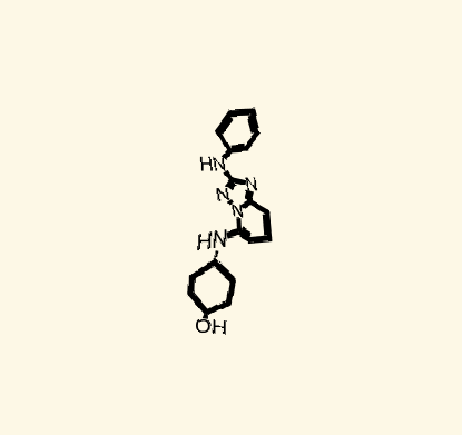 O[C@H]1CC[C@H](Nc2cccc3nc(Nc4ccccc4)nn23)CC1